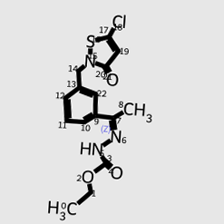 CCOC(=O)N/N=C(/C)c1cccc(Cn2sc(Cl)cc2=O)c1